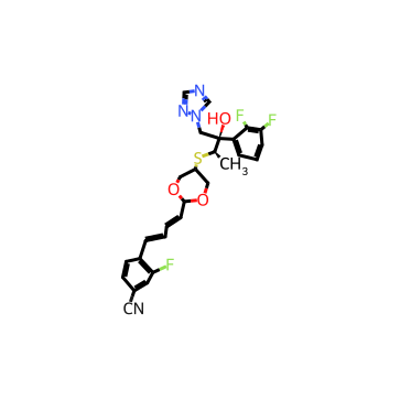 C[C@@H](SC1COC(C=CC=Cc2ccc(C#N)cc2F)OC1)[C@](O)(Cn1cncn1)c1cccc(F)c1F